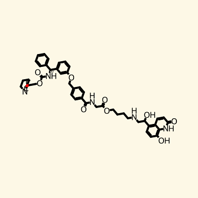 O=C(CNC(=O)c1ccc(COc2cccc([C@@H](NC(=O)OC3CN4CCC3CC4)c3ccccc3)c2)cc1)OCCCCNCC(O)c1ccc(O)c2[nH]c(=O)ccc12